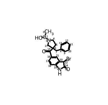 CB(O)N1CCC(Cc2ccccc2)(C(=O)c2ccc3c(c2)C(Br)C(=O)N3)C1